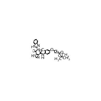 Cc1cc(OC2CN(C(=O)OC(C)(C)C)C2)ccc1NC(=O)c1nc[nH]c1C(=O)Cc1nc2ccccc2[nH]1